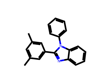 Cc1cc(C)cc(-c2nc3ccccc3n2-c2ccccc2)c1